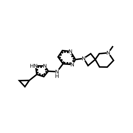 CN1CCCC2(C1)CN(c1nccc(Nc3cc(C4CC4)[nH]n3)n1)C2